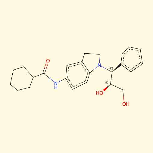 O=C(Nc1ccc2c(c1)CCN2[C@@H](c1ccccc1)[C@H](O)CO)C1CCCCC1